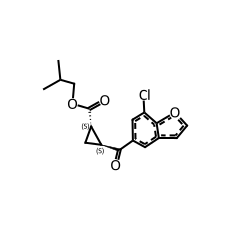 CC(C)COC(=O)[C@H]1C[C@@H]1C(=O)c1cc(Cl)c2occc2c1